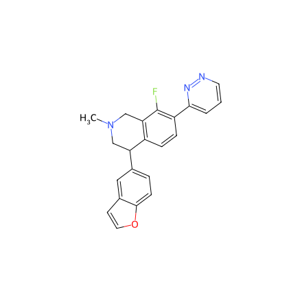 CN1Cc2c(ccc(-c3cccnn3)c2F)C(c2ccc3occc3c2)C1